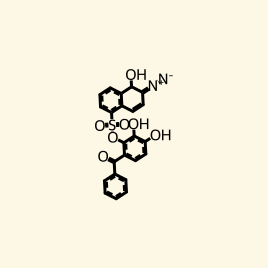 [N-]=[N+]=C1C=Cc2c(cccc2S(=O)(=O)Oc2c(C(=O)c3ccccc3)ccc(O)c2O)C1O